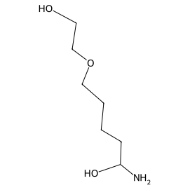 NC(O)CCCCOCCO